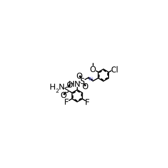 COc1cc(Cl)ccc1/C=C/S(=O)(=O)Nc1cc(F)cc(F)c1S(N)(=O)=O